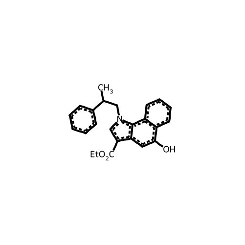 CCOC(=O)c1cn(CC(C)c2ccccc2)c2c1cc(O)c1ccccc12